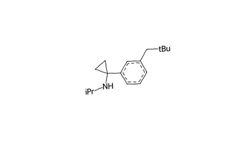 CC(C)NC1(c2cccc(CC(C)(C)C)c2)CC1